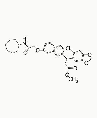 COC(=O)CC(c1ccc2ccc(OCC(=O)NC3CCCCCC3)cc2c1)c1cc2c(cc1Cl)OCO2